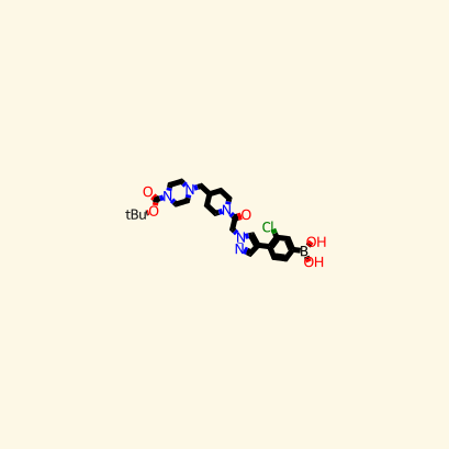 CC(C)(C)OC(=O)N1CCN(CC2CCN(C(=O)Cn3cc(-c4ccc(B(O)O)cc4Cl)cn3)CC2)CC1